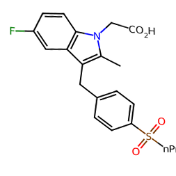 CCCS(=O)(=O)c1ccc(Cc2c(C)n(CC(=O)O)c3ccc(F)cc23)cc1